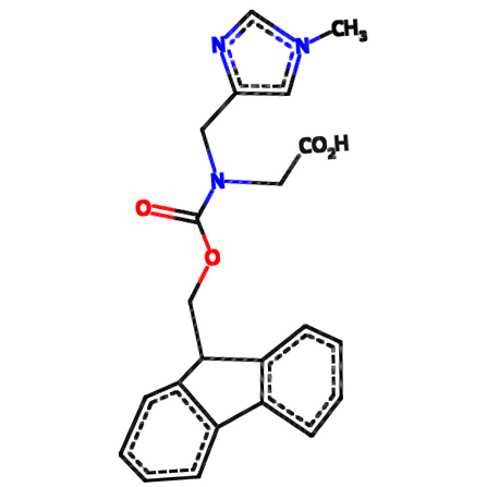 Cn1cnc(CN(CC(=O)O)C(=O)OCC2c3ccccc3-c3ccccc32)c1